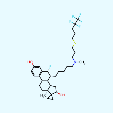 CN(CCCCC[C@H]1C2C(CC[C@@]3(C)C2C[C@@H](O)C32CC2)c2ccc(O)cc2[C@@H]1F)CCCSCCCC(F)(F)C(F)(F)F